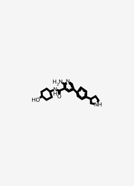 Nc1ncc(-c2ccc(C3CCNC3)cc2)cc1C(=O)NC1CCC(O)CC1